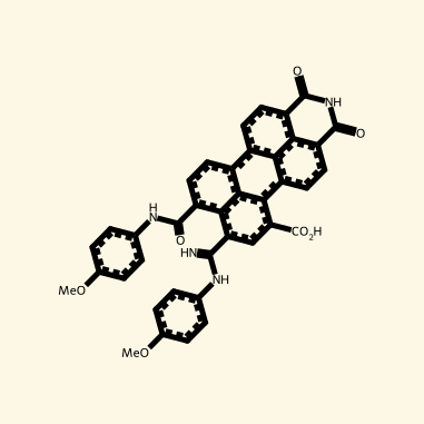 COc1ccc(NC(=N)c2cc(C(=O)O)c3c4ccc5c6c(ccc(c7ccc(C(=O)Nc8ccc(OC)cc8)c2c73)c64)C(=O)NC5=O)cc1